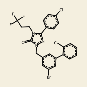 O=c1n(Cc2cc(Br)cc(-c3ccccc3Cl)c2)nc(-c2ccc(Cl)cc2)n1CCC(F)(F)F